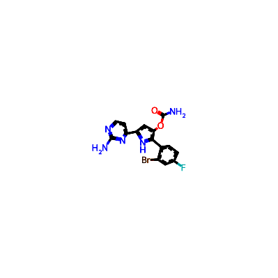 NC(=O)Oc1cc(-c2ccnc(N)n2)[nH]c1-c1ccc(F)cc1Br